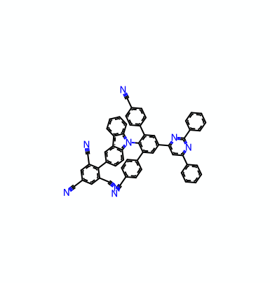 N#Cc1ccc(-c2cc(-c3cc(-c4ccccc4)nc(-c4ccccc4)n3)cc(-c3ccc(C#N)cc3)c2-n2c3ccccc3c3cc(-c4c(C#N)cc(C#N)cc4C#N)ccc32)cc1